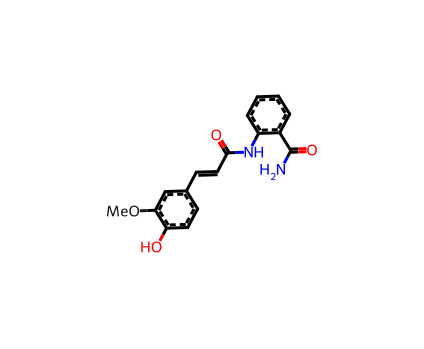 COc1cc(C=CC(=O)Nc2ccccc2C(N)=O)ccc1O